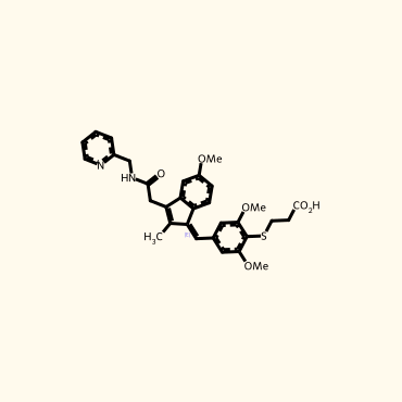 COc1ccc2c(c1)C(CC(=O)NCc1ccccn1)=C(C)/C2=C/c1cc(OC)c(SCCC(=O)O)c(OC)c1